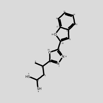 CC(CC(S)S)c1nnc(-c2cc3ccccc3o2)o1